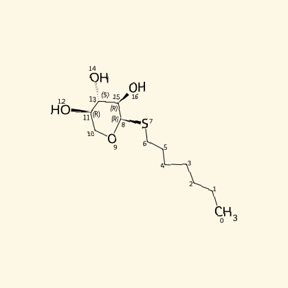 CCCCCCCS[C@H]1OC[C@@H](O)[C@H](O)[C@H]1O